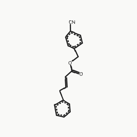 N#Cc1ccc(COC(=O)C=CCc2ccccc2)cc1